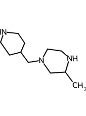 CC1CN(CC2CCNCC2)CCN1